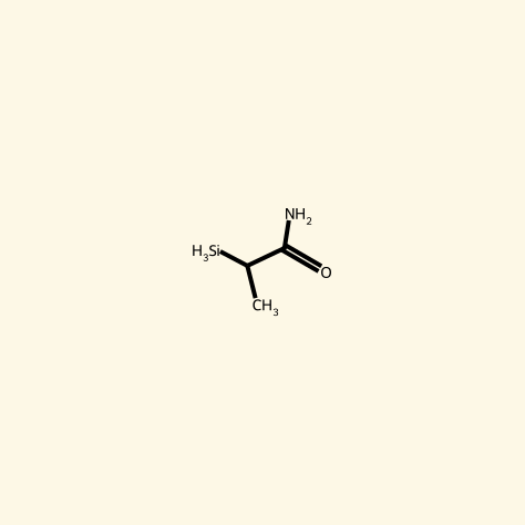 CC([SiH3])C(N)=O